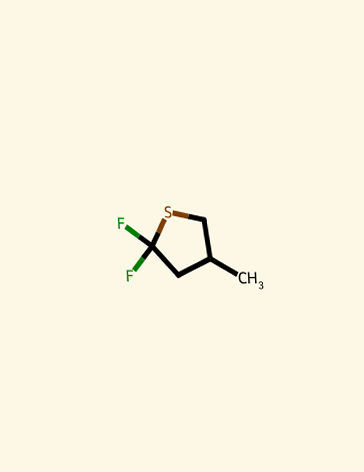 CC1CSC(F)(F)C1